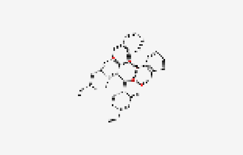 C=Cc1ccc2c(-c3c(P(c4ccccc4)c4ccccc4)ccc4cc(C=C)ccc34)c(P(c3ccccc3)c3ccccc3)ccc2c1